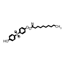 CCCCCCCCCC(=[N])OOc1ccc(S(=O)(=O)c2ccc(O)cc2)cc1